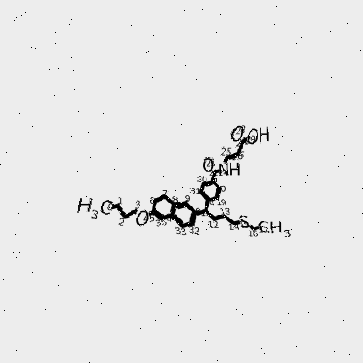 CCCCOc1ccc2cc(C(CCCSCC)c3ccc(C(=O)NCCC(=O)O)cc3)ccc2c1